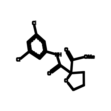 COC(=O)C1(C(=O)Nc2cc(Cl)cc(Cl)c2)CCCO1